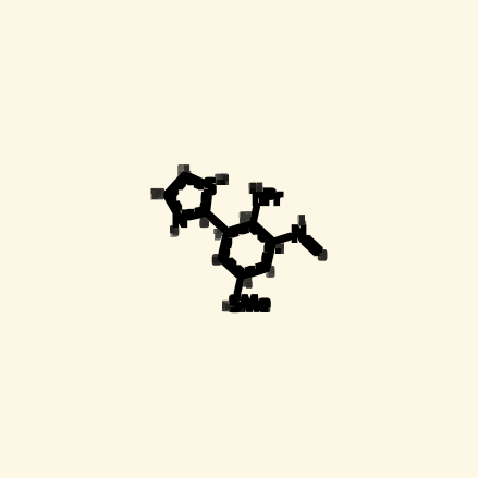 C=Nc1cc(SC)cc(-c2nccs2)c1CCC